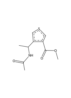 COC(=O)c1cscc1C(C)NC(C)=O